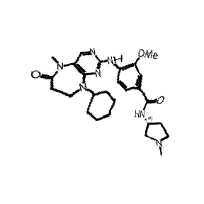 COc1cc(C(=O)N[C@@H]2CCN(C)C2)ccc1Nc1ncc2c(n1)N(C1CCCCC1)CCC(=O)N2C